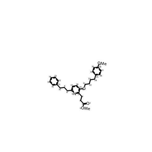 COC(=O)CCc1nc(CCCc2ccccc2)ccc1OCCCCc1ccc(OC)cc1